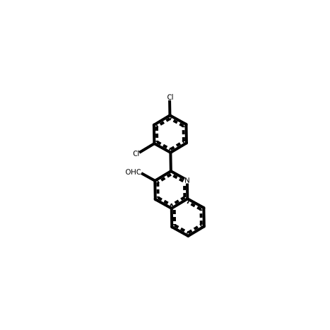 O=Cc1cc2ccccc2nc1-c1ccc(Cl)cc1Cl